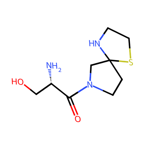 N[C@@H](CO)C(=O)N1CCC2(C1)NCCS2